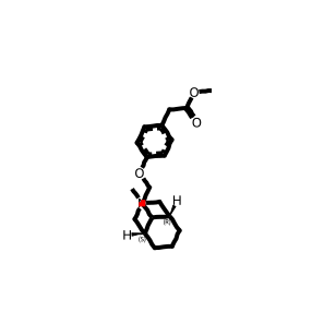 COC(=O)Cc1ccc(OCCC2[C@@H]3CCC[C@H]2CN(C)C3)cc1